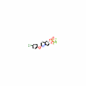 O=S(=O)(Oc1ccc2nc(Oc3ccc(Cl)cc3)ccc2c1)C(F)(F)F